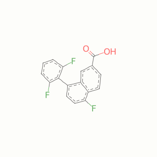 O=C(O)c1ccc2c(F)ccc(-c3c(F)cccc3F)c2c1